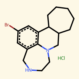 Brc1cc2c3c(c1)C1CCCCCC1CN3CCNC2.Cl